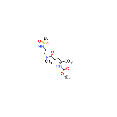 CCS(=O)(=O)NCCN(C)C(=O)CC[C@H](NC(=O)OC(C)(C)C)C(=O)O